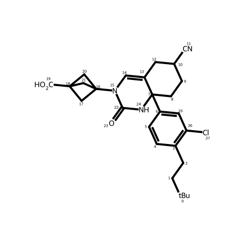 CC(C)(C)CCc1ccc(C23CCC(C#N)CC2=CN(C24CC(C(=O)O)(C2)C4)C(=O)N3)cc1Cl